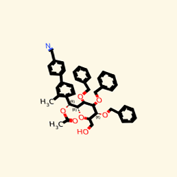 CC(=O)O[C@H](c1ccc(-c2ccc(C#N)cc2)cc1C)[C@H]1OC(CO)[C@@H](OCc2ccccc2)C(OCc2ccccc2)C1OCc1ccccc1